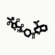 CN(C)c1cc(N[C@H]2CC[C@@H](NC(=O)c3scc(S(C)(=O)=O)c3Cl)CC2)nc2ccccc12